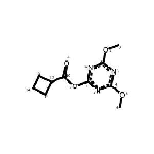 COc1nc(OC)nc(OC(=O)C2CCC2)n1